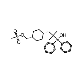 CC(C)(C[C@H]1CC[C@@H](COS(C)(=O)=O)CC1)[Si](O)(c1ccccc1)c1ccccc1